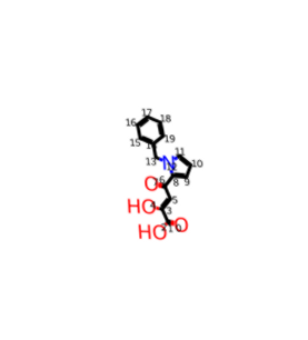 O=C(O)C(O)=CC(=O)c1cccn1Cc1ccccc1